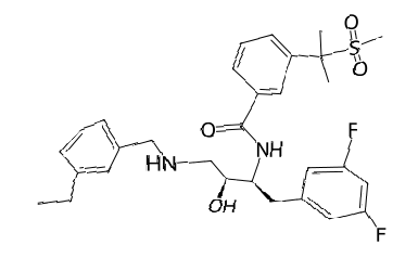 CCc1cccc(CNC[C@H](O)[C@H](Cc2cc(F)cc(F)c2)NC(=O)c2cccc(C(C)(C)S(C)(=O)=O)c2)c1